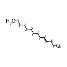 CCCCCCCCC/C=C/C[C]=O